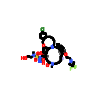 CN1CC/C=C/[C@H](OCCN2CC(F)(F)C2)[C@@H]2CC[C@H]2CN2CCCCc3cc(Cl)ccc3COc3ccc(cc32)[C@@](O)(C(=O)NS(=O)(=O)N(C)CCO)CC1=O